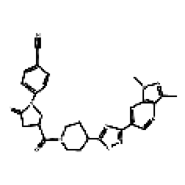 Cc1nn(C)c2cc(-c3noc(C4CCN(C(=O)C5CC(=O)N(c6ccc(C#N)cc6)C5)CC4)n3)cnc12